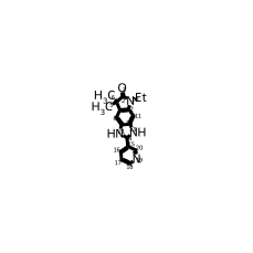 CCN1C(=O)C(C)(C)c2cc3c(cc21)NC(c1cccnc1)N3